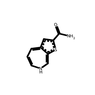 NC(=O)c1cc2c(s1)=CNC=CC=2